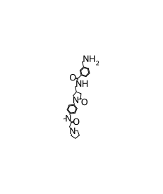 CN(C(=O)CN1CCCC1)c1ccc(N2CC(CNC(=O)c3cccc(CN)c3)CC2=O)cc1